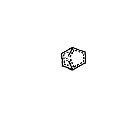 c1cc2ccc1s2